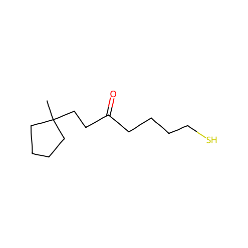 CC1(CCC(=O)CCCCS)CCCC1